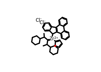 CC([C](C(C)C1CCCCC1)=[Zr+2]([C]1=CC=CC1)[CH]1c2ccccc2-c2c1c1ccccc1c1ccccc21)C1CCCCC1.[Cl-].[Cl-]